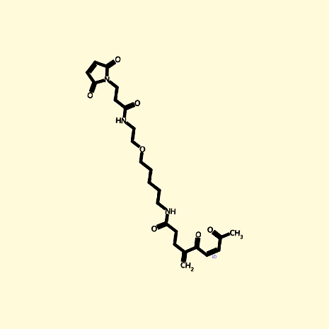 C=C(CCC(=O)NCCCCCOCCNC(=O)CCN1C(=O)C=CC1=O)C(=O)/C=C\C(C)=O